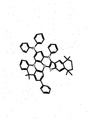 CC1(C)CCC(C)(C)c2cc3c4c(sc3cc21)B1c2cc(-c3ccccc3)cc3c2N(c2ccccc2C3(C)C)c2cc(N(c3ccccc3)c3ccccc3)cc(c21)N4c1ccccc1